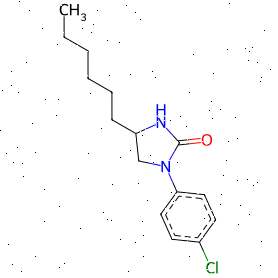 CCCCCCC1CN(c2ccc(Cl)cc2)C(=O)N1